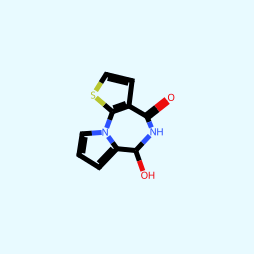 O=C1NC(O)c2cccn2-c2sccc21